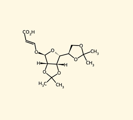 CC1(C)O[C@@H]2[C@H](O1)[C@@H](OC=CC(=O)O)O[C@@H]2[C@H]1COC(C)(C)O1